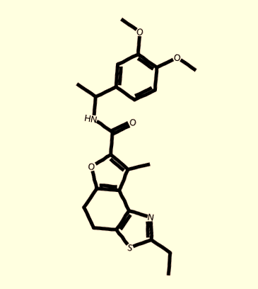 CCc1nc2c(s1)CCc1oc(C(=O)NC(C)c3ccc(OC)c(OC)c3)c(C)c1-2